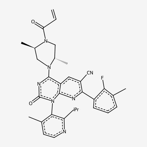 C=CC(=O)N1C[C@H](C)N(c2nc(=O)n(-c3c(C)ccnc3C(C)C)c3nc(-c4cccc(C)c4F)c(C#N)cc23)C[C@H]1C